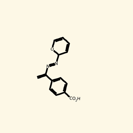 C=C(N=NC1C=CC=CO1)c1ccc(C(=O)O)cc1